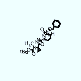 CN(C(=O)OC(C)(C)C)C1(c2nnc([C@@H]3CC[C@@H]4CN3C(=O)N4OCc3ccccc3)o2)CC1